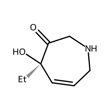 CC[C@@]1(O)C=CCNCC1=O